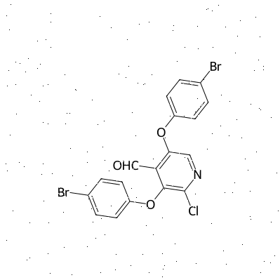 O=Cc1c(Oc2ccc(Br)cc2)cnc(Cl)c1Oc1ccc(Br)cc1